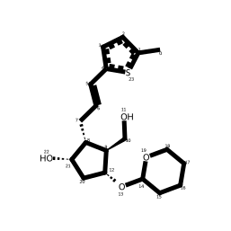 Cc1ccc(C=CC[C@@H]2[C@@H](CO)[C@H](OC3CCCCO3)C[C@@H]2O)s1